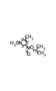 CC1=CC(N(C=O)OCC(C)C)CN(C)C1